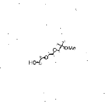 COC(C)(C)COCCOCCO